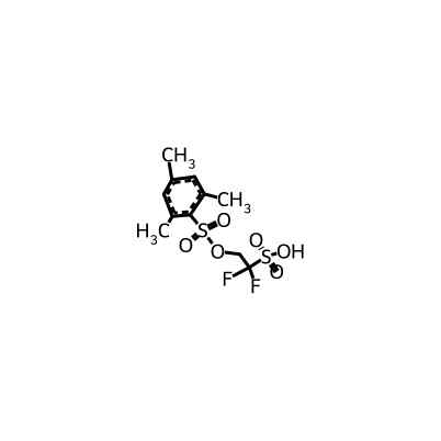 Cc1cc(C)c(S(=O)(=O)OCC(F)(F)S(=O)(=O)O)c(C)c1